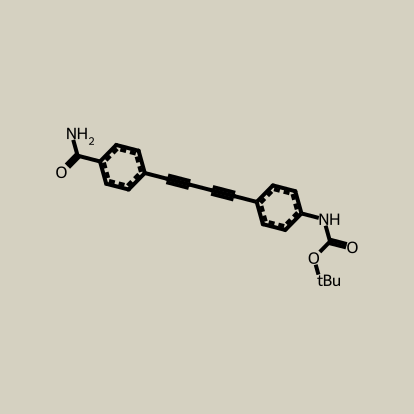 CC(C)(C)OC(=O)Nc1ccc(C#CC#Cc2ccc(C(N)=O)cc2)cc1